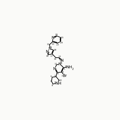 NC1=C(Br)C(C2CCCNC2)=NCN1/N=C\Cc1cnn(Cc2ccccn2)c1